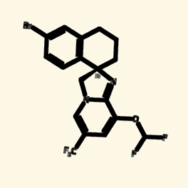 FC(F)OC1=CC(C(F)(F)F)=CN2C[C@@]3(CCCc4cc(Br)ccc43)N=C12